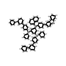 c1ccc(-c2cccc(-c3ccc(N(c4ccccc4)c4cc(N(c5ccccc5)c5ccc(-c6cccc(-c7ccccc7)c6)cc5)cc(N(c5ccc(-c6ccc7sc8ccccc8c7c6)cc5)c5cccc6ccccc56)c4)cc3)c2)cc1